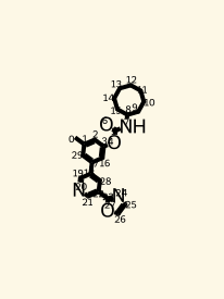 Cc1cc(OC(=O)NC2CCCCCCC2)cc(-c2cncc(-c3ncco3)c2)c1